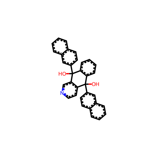 OC1(c2ccc3ccccc3c2)c2ccccc2C(O)(c2ccc3ccccc3c2)c2cnccc21